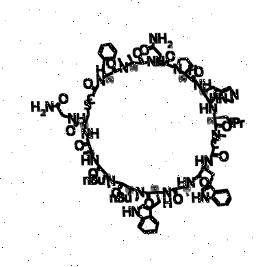 CCCC[C@H]1C(=O)N(C)[C@@H](CCCC)C(=O)N[C@@H](C)C(=O)N[C@H](C(=O)NCC(N)=O)CSCC(=O)N[C@@H](Cc2ccccc2)C(=O)N(C)[C@@H](C)C(=O)N[C@@H](CC(N)=O)C(=O)N2CCC[C@H]2C(=O)N[C@@H](Cc2cnc[nH]2)C(=O)N[C@@H](CC(C)C)C(=O)N(C)CC(=O)N[C@@H](Cc2c[nH]c3ccccc23)C(=O)N[C@H](C)C(=O)N[C@@H](Cc2c[nH]c3ccccc23)C(=O)N1C